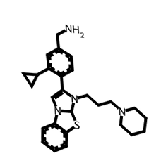 NCc1ccc(C2=CN3c4ccccc4SC3N2CCCN2CCCCC2)c(C2CC2)c1